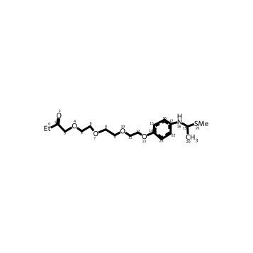 CCC(=O)COCCOCCOCCOc1ccc(NC(C)SC)cc1